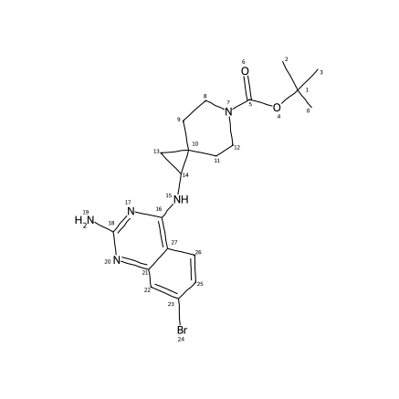 CC(C)(C)OC(=O)N1CCC2(CC1)CC2Nc1nc(N)nc2cc(Br)ccc12